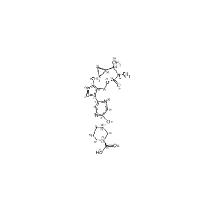 Cc1noc(-c2cnc(O[C@H]3CCC[C@H](C(=O)O)C3)cn2)c1COC(=O)N(C)C(C)C1CC1